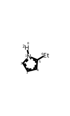 [2H]n1cccc1CC